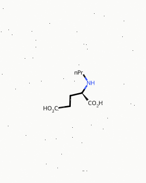 CCCN[C@H](CCC(=O)O)C(=O)O